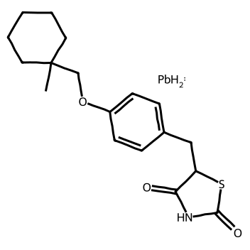 CC1(COc2ccc(CC3SC(=O)NC3=O)cc2)CCCCC1.[PbH2]